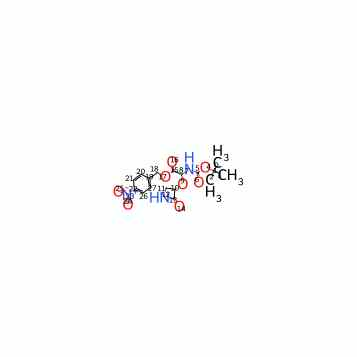 CC(C)(C)OC(=O)NC(O[C@H]1CNC1=O)C(=O)OCc1ccc([N+](=O)[O-])cc1